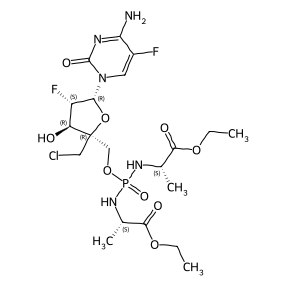 CCOC(=O)[C@H](C)NP(=O)(N[C@@H](C)C(=O)OCC)OC[C@@]1(CCl)O[C@@H](n2cc(F)c(N)nc2=O)[C@@H](F)[C@@H]1O